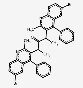 Cc1nc2ccc(Br)cc2c(-c2ccccc2)c1C(C)C(=O)C(C)c1c(C)nc2ccc(Br)cc2c1-c1ccccc1